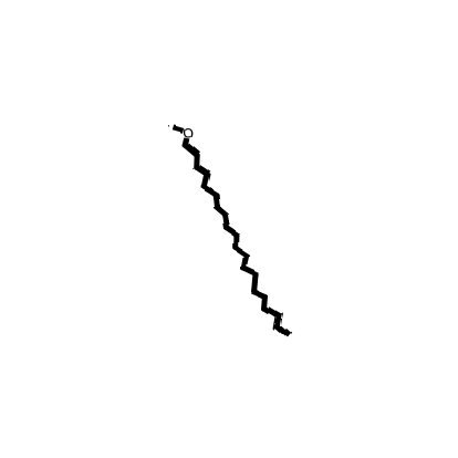 [CH2]OC=CC=CCCCCCCCCCCCCCCCC